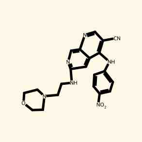 N#Cc1cnc2cnc(NCCN3CCOCC3)cc2c1Nc1ccc([N+](=O)[O-])cc1